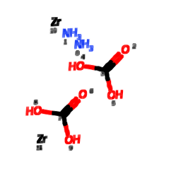 N.N.O=C(O)O.O=C(O)O.[Zr].[Zr]